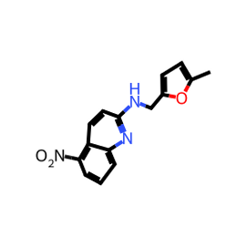 Cc1ccc(CNc2ccc3c([N+](=O)[O-])cccc3n2)o1